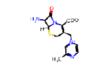 Cc1c[n+](CC2=C(C(=O)[O-])N3C(=O)C(N)[C@@H]3SC2)ccn1